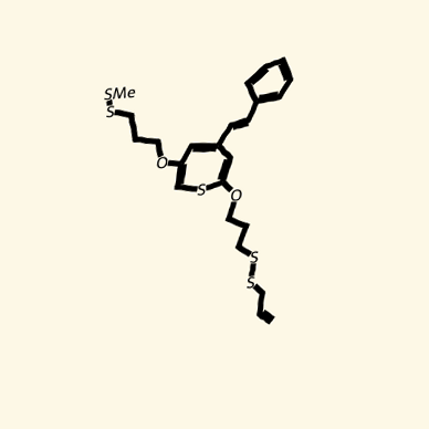 C=CCSSCCCOC1=CC(/C=C/c2ccccc2)=CC(OCCCSSC)=CS1